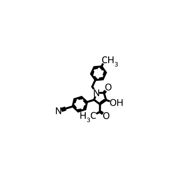 CC(=O)C1=C(O)C(=O)N(Cc2ccc(C)cc2)C1c1ccc(C#N)cc1